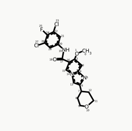 COc1cc2nc(C3CCOCC3)cn2cc1C(=O)Nc1cc(Cl)c(F)c(Cl)c1